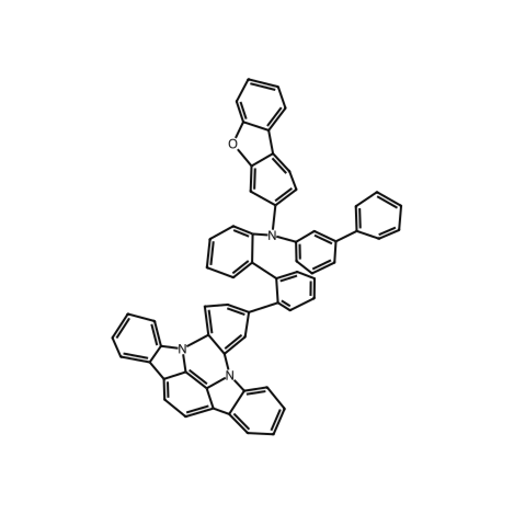 c1ccc(-c2cccc(N(c3ccc4c(c3)oc3ccccc34)c3ccccc3-c3ccccc3-c3ccc4c(c3)n3c5ccccc5c5ccc6c7ccccc7n4c6c53)c2)cc1